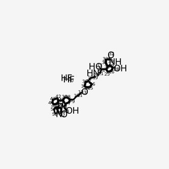 F.F.O=C(O)N(c1cc(CCCCOc2ccc(CCNC[C@@H](O)c3ccc(O)c4[nH]c(=O)ccc34)cc2)ccc1-c1ccccc1)[C@H]1CN2CCC1CC2